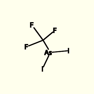 FC(F)(F)[As](I)I